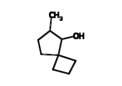 CC1CCC2(CCC2)C1O